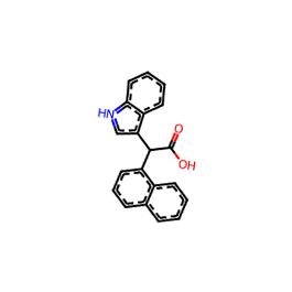 O=C(O)C(c1cccc2ccccc12)c1c[nH]c2ccccc12